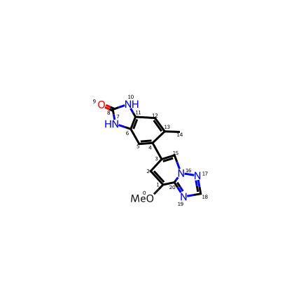 COc1cc(-c2cc3[nH]c(=O)[nH]c3cc2C)cn2ncnc12